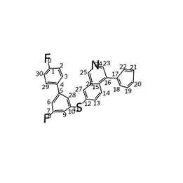 Fc1ccc(-c2cc(F)cc(Sc3ccc4c(-c5ccccc5)cncc4c3)c2)cc1